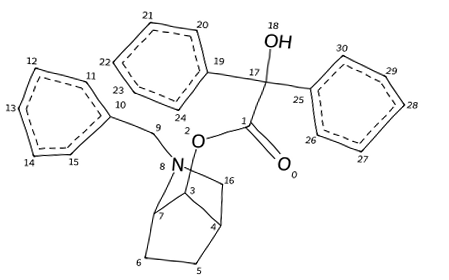 O=C(OC1C2CCC1N(Cc1ccccc1)C2)C(O)(c1ccccc1)c1ccccc1